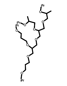 CC(C)OCCCOCC(COCC(COCC(C)OC(C)C)OCC(C)OC(C)C)OCCCOC(C)C